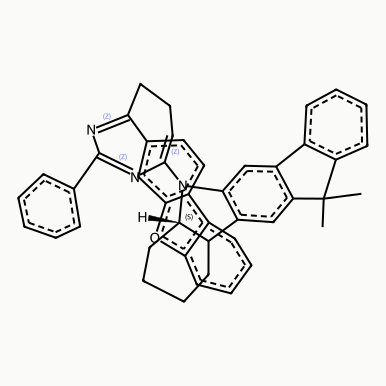 CC1(C)c2ccccc2-c2cc3c(cc21)C1CCCC[C@@H]1N3C1=C/CC/C(c2ccc3c(c2)oc2ccccc23)=N/C(c2ccccc2)=N\1